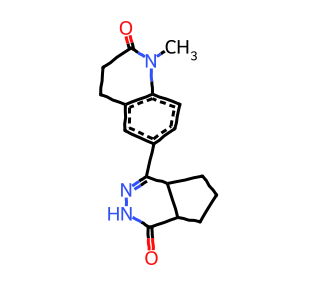 CN1C(=O)CCc2cc(C3=NNC(=O)C4CCCC34)ccc21